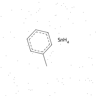 Cc1ccccc1.[SnH4]